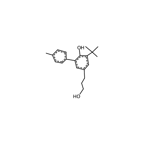 Cc1ccc(-c2cc(CCCO)cc(C(C)(C)C)c2O)cc1